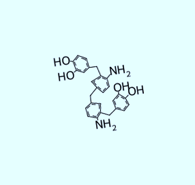 Nc1ccc(Cc2ccc(N)c(Cc3ccc(O)c(O)c3)c2)cc1Cc1ccc(O)c(O)c1